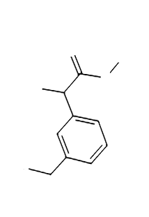 O=C(OF)C(F)c1cccc(CBr)c1